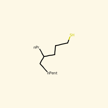 CCCCCCC(CCC)CCCS